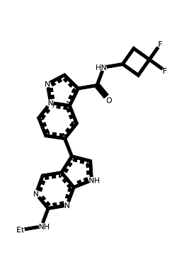 CCNc1ncc2c(-c3ccn4ncc(C(=O)NC5CC(F)(F)C5)c4c3)c[nH]c2n1